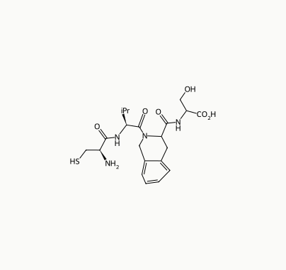 CC(C)[C@H](NC(=O)[C@@H](N)CS)C(=O)N1Cc2ccccc2CC1C(=O)NC(CO)C(=O)O